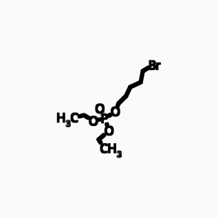 CCOP(=O)(OCC)OCCCCCBr